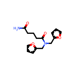 NC(=O)CCCC(=O)N(Cc1ccco1)Cc1ccco1